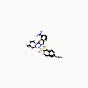 COc1ccc2cc(S(=O)(=O)NN(Cc3cccc(C(=N)N)c3)C(=O)N3CCC(C)CC3)ccc2c1